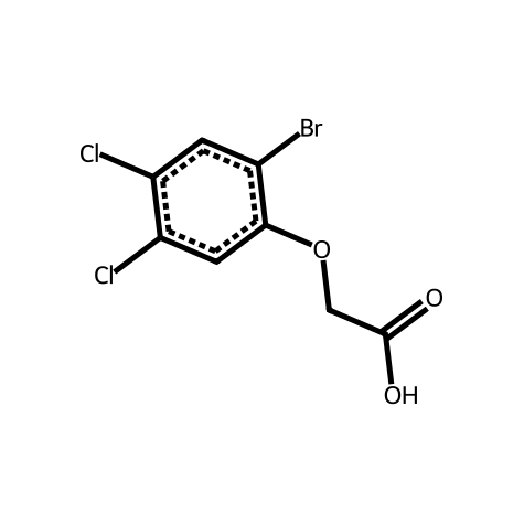 O=C(O)COc1cc(Cl)c(Cl)cc1Br